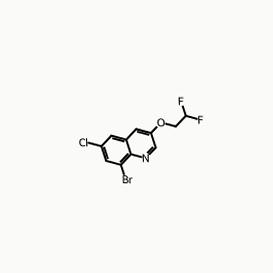 FC(F)COc1cnc2c(Br)cc(Cl)cc2c1